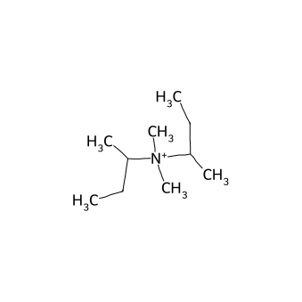 CCC(C)[N+](C)(C)C(C)CC